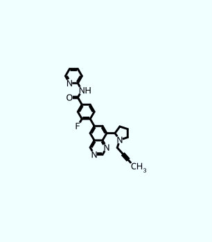 CC#CCN1CCCC1c1cc(-c2ccc(C(=O)Nc3ccccn3)cc2F)cc2cncnc12